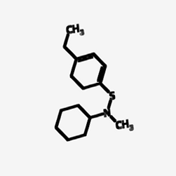 CCC1=CC=C(SN(C)C2CCCCC2)CC1